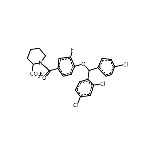 CCOC(=O)C1CCCCN1C(=O)c1ccc(OC(c2ccc(Cl)cc2)c2ccc(Cl)cc2Cl)c(F)c1